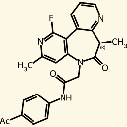 CC(=O)c1ccc(NC(=O)CN2C(=O)[C@H](C)c3ncccc3-c3c2cc(C)nc3F)cc1